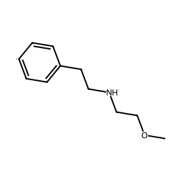 COCCNCCc1cc[c]cc1